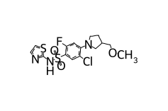 COCC1CCN(c2cc(F)c(S(=O)(=O)Nc3nccs3)cc2Cl)C1